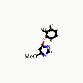 COc1cc(Oc2cccc(C)c2C)ncn1